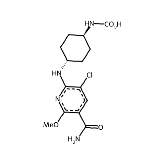 COc1nc(N[C@H]2CC[C@H](NC(=O)O)CC2)c(Cl)cc1C(N)=O